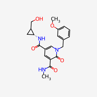 CNC(=O)c1cc(C(=O)N[C@@H]2CC2CO)cn(Cc2cccc(OC)c2)c1=O